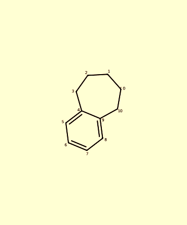 [CH]1CCCc2ccccc2C1